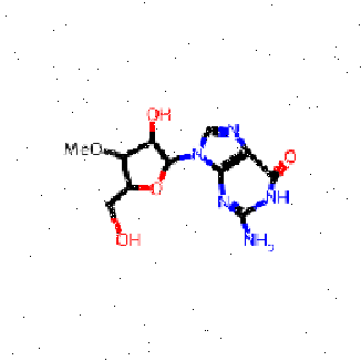 COC1C(CO)OC(n2cnc3c(=O)[nH]c(N)nc32)C1O